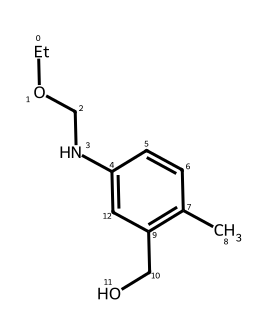 CCOCNc1ccc(C)c(CO)c1